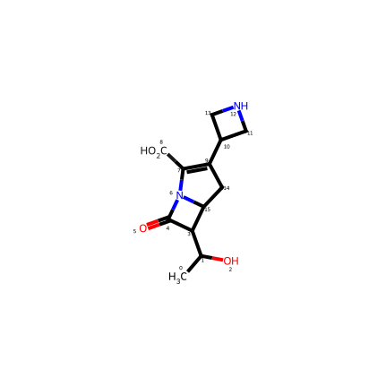 CC(O)C1C(=O)N2C(C(=O)O)=C(C3CNC3)CC12